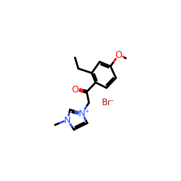 CCc1cc(OC)ccc1C(=O)C[n+]1ccn(C)c1.[Br-]